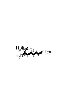 [CH2]CCCCCCCCCCC(N)N(C)C